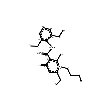 CCCCn1c(CC)cc(=O)c(C(=O)Nc2c(CC)cccc2CC)c1C